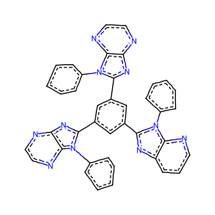 c1ccc(-n2c(-c3cc(-c4nc5nccnc5n4-c4ccccc4)cc(-c4nc5nccnc5n4-c4ccccc4)c3)nc3cccnc32)cc1